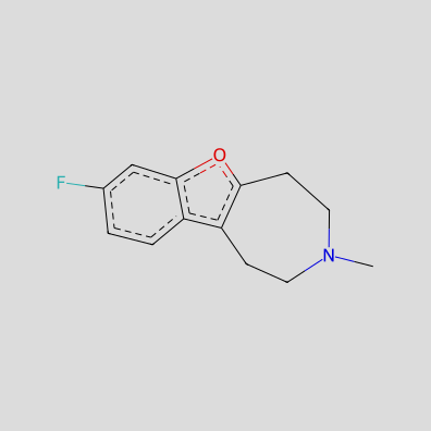 CN1CCc2oc3cc(F)ccc3c2CC1